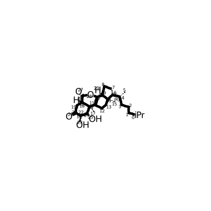 CC(C)CCC[C@@H](C)[C@H]1CC[C@H]2C3=C(CC[C@]12C)[C@]1(C)[C@H](CC(=O)[C@H](O)[C@@H]1O)C(=O)O3